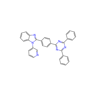 c1ccc(-c2nc(-c3ccccc3)nc(-c3ccc(-c4nc5ccccc5n4-c4cccnc4)cc3)n2)cc1